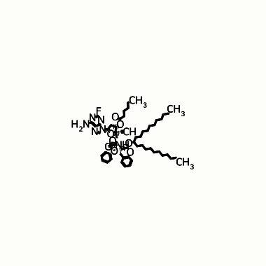 C#C[C@]1(CO[P@@](=O)(N[C@@H](Cc2ccccc2)C(=O)OC(CCCCCCCCCCC)CCCCCCCCCCC)Oc2ccccc2)O[C@@H](n2cnc3c(N)nc(F)nc32)C[C@@H]1OC(=O)CCCCC